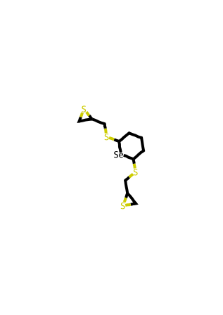 C1CC(SCC2CS2)[Se]C(SCC2CS2)C1